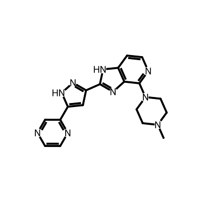 CN1CCN(c2nccc3[nH]c(-c4cc(-c5cnccn5)[nH]n4)nc23)CC1